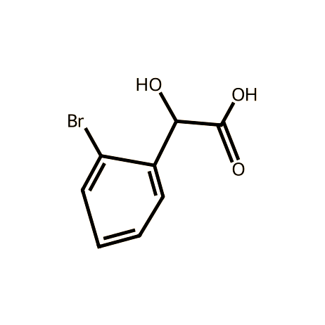 O=C(O)C(O)c1ccccc1Br